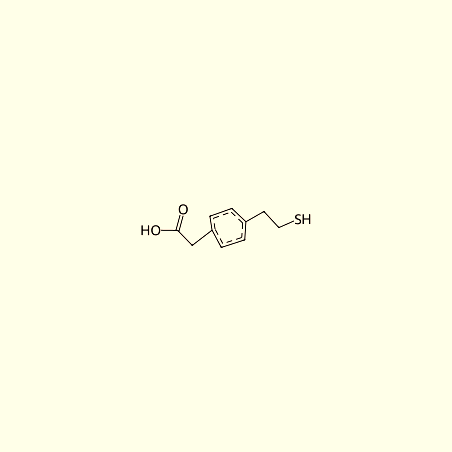 O=C(O)Cc1ccc(CCS)cc1